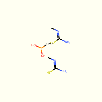 CN=C(N)S.CN=C(N)S.COP(O)O